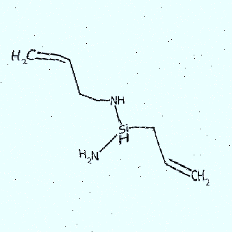 C=CCN[SiH](N)CC=C